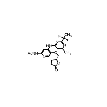 CC(=O)Nc1cc(Nc2cc(C)nc(C(C)(F)F)n2)c(OC[C@H]2CCC(=O)O2)cn1